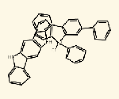 Cl[N+](c1ccccc1)(c1ccccc1)c1cc(-c2ccccc2)ccc1-c1cccc2c1[nH]c1cc3c(cc12)[nH]c1ccccc13